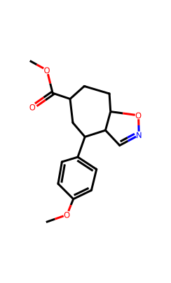 COC(=O)C1CCC2ON=CC2C(c2ccc(OC)cc2)C1